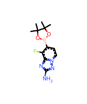 CC1(C)OB(c2ccn3nc(N)nc3c2F)OC1(C)C